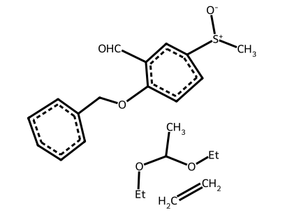 C=C.CCOC(C)OCC.C[S+]([O-])c1ccc(OCc2ccccc2)c(C=O)c1